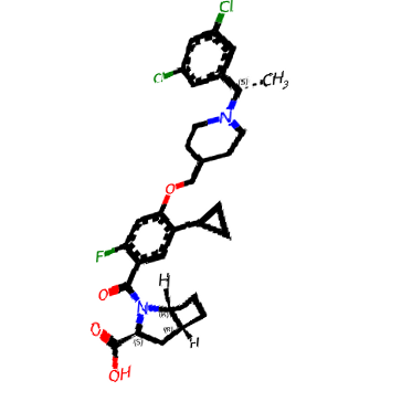 C[C@@H](c1cc(Cl)cc(Cl)c1)N1CCC(COc2cc(F)c(C(=O)N3[C@@H]4CC[C@@H]4C[C@H]3C(=O)O)cc2C2CC2)CC1